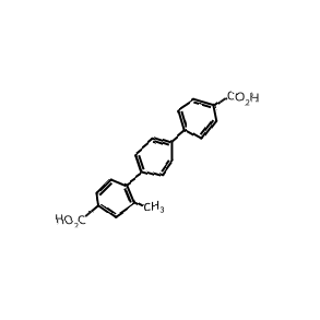 Cc1cc(C(=O)O)ccc1-c1ccc(-c2ccc(C(=O)O)cc2)cc1